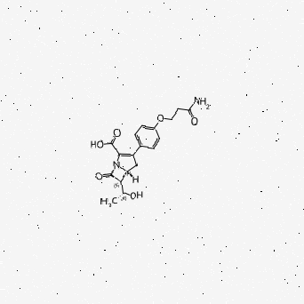 C[C@@H](O)[C@H]1C(=O)N2C(C(=O)O)=C(c3ccc(OCCC(N)=O)cc3)C[C@H]12